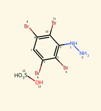 NNc1c(Br)c(Br)cc(Br)c1Br.O=S(=O)(O)O